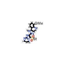 CCS(=O)(=O)c1c(-c2nc3cnc4c(OC)cccc4c3n2C)nc2ncccn12